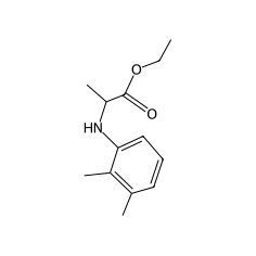 CCOC(=O)C(C)Nc1cccc(C)c1C